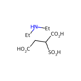 CCNCC.O=C(O)CC(C(=O)O)S(=O)(=O)O